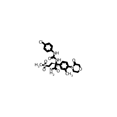 Cc1cc([C@@](CCS(C)(=O)=O)(NC(=O)Nc2ccc(Cl)cc2)C(N)=O)ccc1N1CCOCC1=O